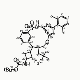 Cc1cccc(C)c1-c1cc2nc(n1)NS(=O)(=O)c1cccc(c1)C(C1CC(NC(=O)OC(C)(C)C)C1)[C@H](CC(C)(C)C(F)(F)F)CO2